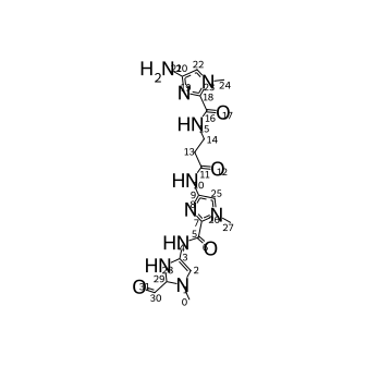 CN1C=C(NC(=O)c2nc(NC(=O)CCNC(=O)c3nc(N)cn3C)cn2C)NC1C=O